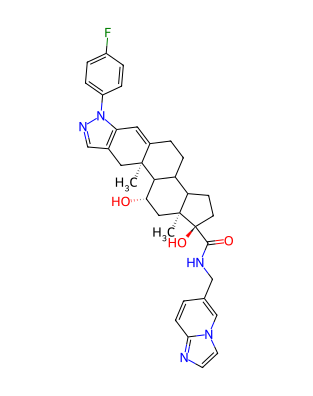 C[C@]12Cc3cnn(-c4ccc(F)cc4)c3C=C1CCC1C2[C@@H](O)C[C@@]2(C)C1CC[C@]2(O)C(=O)NCc1ccc2nccn2c1